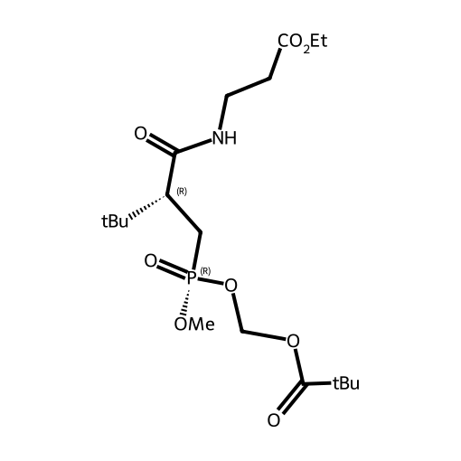 CCOC(=O)CCNC(=O)[C@H](C[P@@](=O)(OC)OCOC(=O)C(C)(C)C)C(C)(C)C